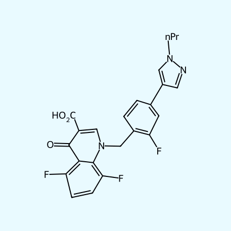 CCCn1cc(-c2ccc(Cn3cc(C(=O)O)c(=O)c4c(F)ccc(F)c43)c(F)c2)cn1